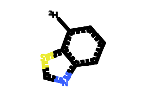 [2H]c1cccc2ncsc12